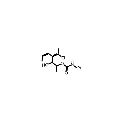 C/C=C\C(=C(/C)Cl)C(O)C(C)OC(=O)NC(C)C